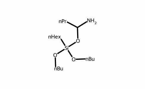 CCCCCC[Si](OCCCC)(OCCCC)OC(N)CCC